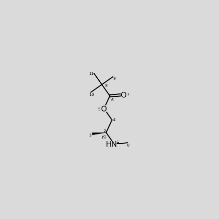 CN[C@@H](C)COC(=O)C(C)(C)C